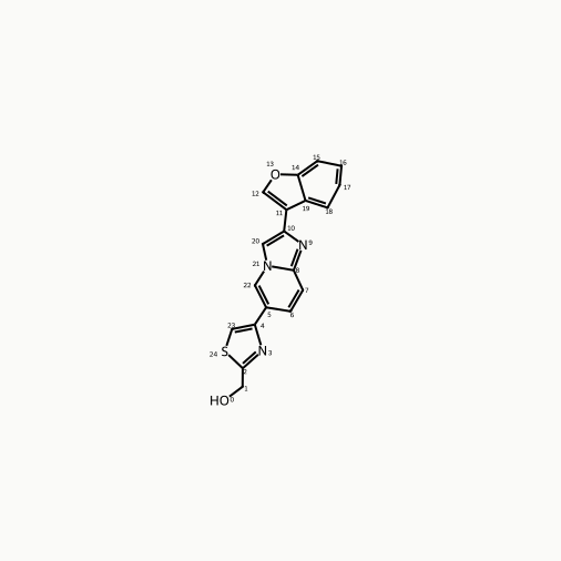 OCc1nc(-c2ccc3nc(-c4coc5ccccc45)cn3c2)cs1